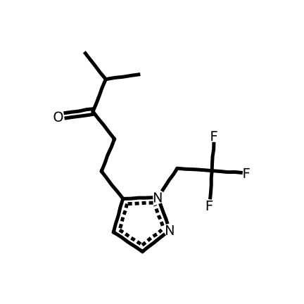 CC(C)C(=O)CCc1ccnn1CC(F)(F)F